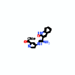 COC(=O)c1cc(N/C=C(\N)c2cc3ccccc3[nH]c2=O)ccn1